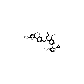 Cc1cnn(C2CC2)c1-c1ncc2c(n1)N(Cc1ccc(-c3nc(C(F)(F)F)cn3C)cc1)CC(=O)N2C(C)C